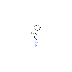 [N-]=[N+]=NCC(F)(F)c1ccccc1